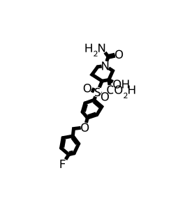 NC(=O)N1CCC(S(=O)(=O)c2ccc(OCc3ccc(F)cc3)cc2)C(O)(C(=O)O)C1